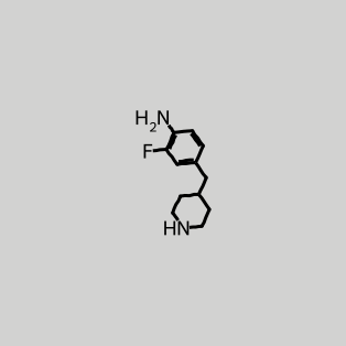 Nc1ccc(CC2CCNCC2)cc1F